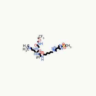 CC(C)[C@H](NC(=O)CCCCCn1cc(-c2cnc(S(C)(=O)=O)nc2)nn1)C(=O)N[C@@H](CCCCN(C)C)C(=O)NCC(=O)NCOCC(F)(F)F